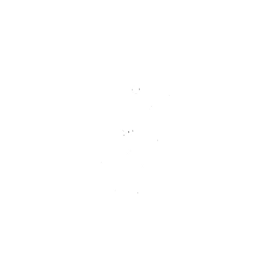 O=C1CCCC=C1[Se]c1ccccc1